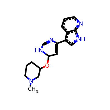 CN1CCCC(OC2C=C(c3c[nH]c4ncccc34)N=CN2)C1